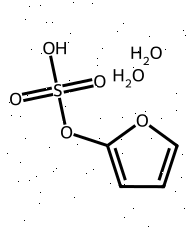 O.O.O=S(=O)(O)Oc1ccco1